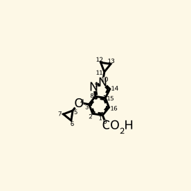 O=C(O)c1cc(OC2CC2)c2nn(C3CC3)cc2c1